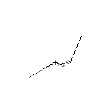 CCCCCCCCCCCCCCCCC(C)(C)SSc1nnc(SSC(C)(C)CCCCCCCCCCCCCCCC)s1